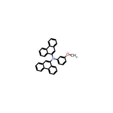 COc1cccc(N(c2cc3ccccc3c3ccccc23)c2cc3ccccc3c3ccccc23)c1